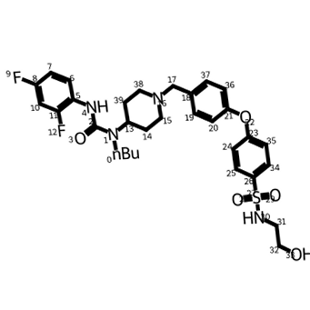 CCCCN(C(=O)Nc1ccc(F)cc1F)C1CCN(Cc2ccc(Oc3ccc(S(=O)(=O)NCCO)cc3)cc2)CC1